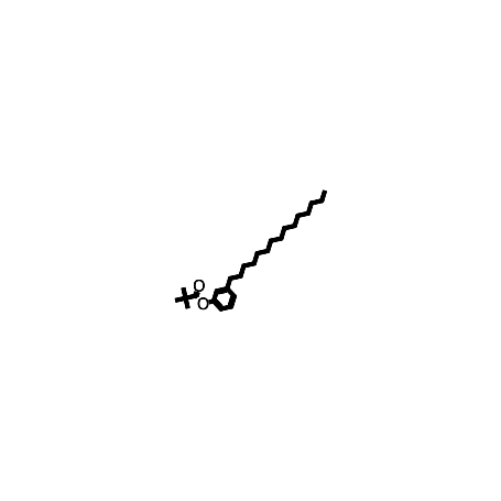 CCCCCCCCCCCCCCCc1cccc(OC(=O)C(C)(C)C)c1